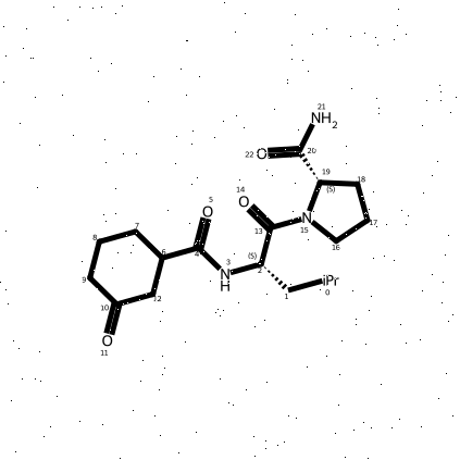 CC(C)C[C@H](NC(=O)C1CCCC(=O)C1)C(=O)N1CCC[C@H]1C(N)=O